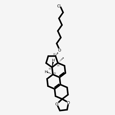 C[C@]12CC=C3C4=C(CC[C@H]3[C@@H]1CC[C@@H]2OCCCCCCCl)CC1(CC4)OCCO1